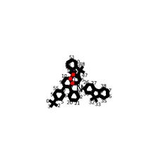 CC(C)(C)c1ccc(-c2ccc(C(C)(C)C)cc2-c2ccccc2N(c2ccc3c(c2)C(C)(C)c2ccccc2-3)c2ccc3c(c2)C(C)(C)c2ccccc2-3)cc1